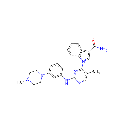 Cc1cnc(Nc2cccc(N3CCN(C)CC3)c2)nc1-n1cc(C(N)=O)c2ccccc21